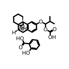 CC(C)C(OC(=O)O)Oc1ccc2c(c1)[C@@]13CCCC[C@H]1[C@@H](C2)NCC3.O=C(O)c1ccccc1O